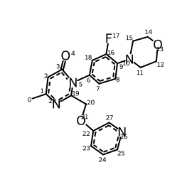 Cc1cc(=O)n(-c2ccc(N3CCOCC3)c(F)c2)c(COc2cccnc2)n1